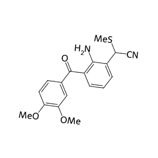 COc1ccc(C(=O)c2cccc(C(C#N)SC)c2N)cc1OC